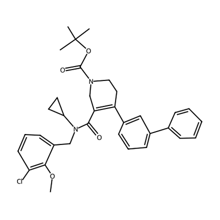 COc1c(Cl)cccc1CN(C(=O)C1=C(c2cccc(-c3ccccc3)c2)CCN(C(=O)OC(C)(C)C)C1)C1CC1